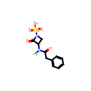 O=C(Cc1ccccc1)N(Cl)C1CN(S(=O)(=O)O)C1=O